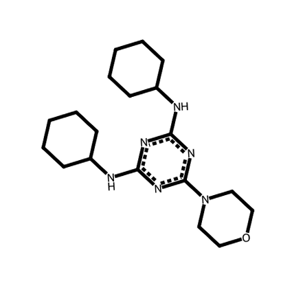 C1CCC(Nc2nc(NC3CCCCC3)nc(N3CCOCC3)n2)CC1